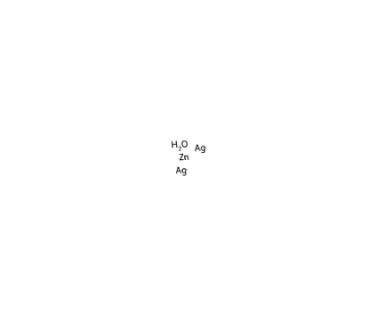 O.[Ag].[Ag].[Zn]